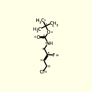 CC(C)(C)OC(=O)NCC(F)=CCCl